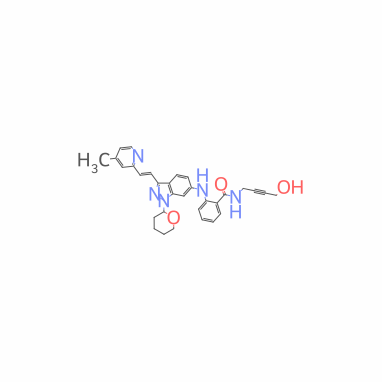 Cc1ccnc(C=Cc2nn(C3CCCCO3)c3cc(Nc4ccccc4C(=O)NCC#CCO)ccc23)c1